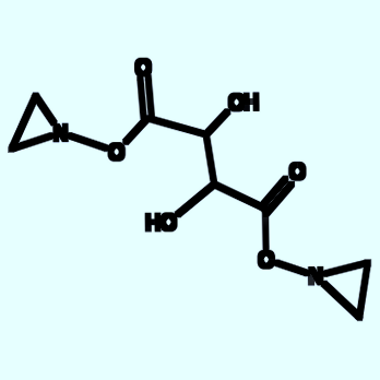 O=C(ON1CC1)C(O)C(O)C(=O)ON1CC1